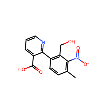 Cc1ccc(-c2ncccc2C(=O)O)c(CO)c1[N+](=O)[O-]